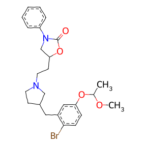 COC(C)Oc1ccc(Br)c(CC2CCN(CCC3CN(c4ccccc4)C(=O)O3)C2)c1